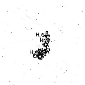 Cc1noc(-c2ccc(NC(=O)C3C(C)C3(F)F)cc2)c1NC(=O)O[C@H](C)c1ccccc1Cl